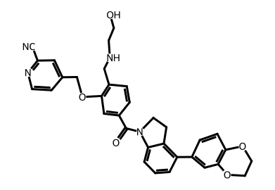 N#Cc1cc(COc2cc(C(=O)N3CCc4c(-c5ccc6c(c5)OCCO6)cccc43)ccc2CNCCO)ccn1